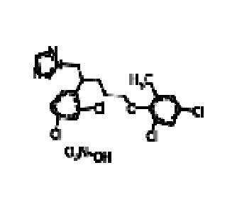 Cc1cc(Cl)cc(Cl)c1OCCCC(Cn1cncn1)c1ccc(Cl)cc1Cl.O=[N+]([O-])O